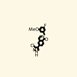 COc1cc(F)cc(Cn2ccc3cc(-c4c[nH]nc4Cl)ccc3c2=O)c1